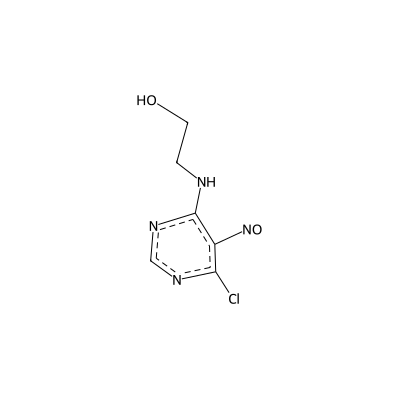 O=Nc1c(Cl)ncnc1NCCO